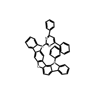 c1ccc(-c2cc(-c3ccccc3)nc(-n3c4ccccc4c4cc5oc6ccc7c8ccccc8n(-c8ccccc8)c7c6c5cc43)n2)cc1